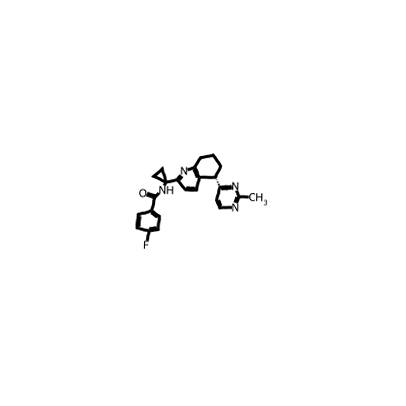 Cc1nccc([C@H]2CCCc3nc(C4(NC(=O)c5ccc(F)cc5)CC4)ccc32)n1